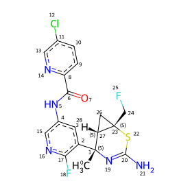 C[C@]1(c2cc(NC(=O)c3ccc(Cl)cn3)cnc2F)N=C(N)S[C@@]2(CF)C[C@H]21